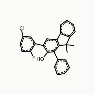 CC1(C)c2ccccc2-c2cc(-c3cc(Cl)ccc3F)c(O)c(-c3ccccc3)c21